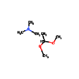 CN(C)C.CO[SiH](C)OC